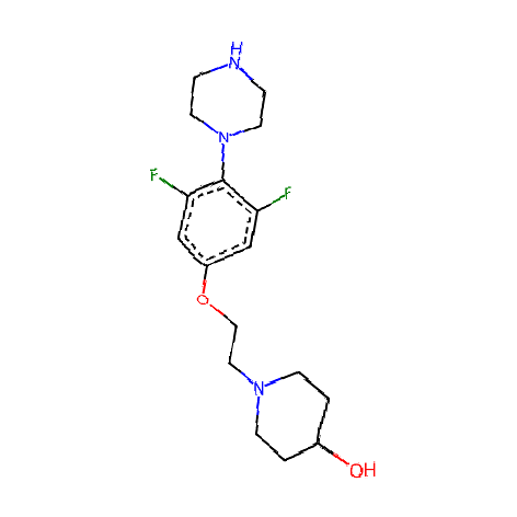 OC1CCN(CCOc2cc(F)c(N3CCNCC3)c(F)c2)CC1